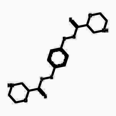 S=C(SSc1ccc(SSC(=S)C2CNCCO2)cc1)C1CNCCO1